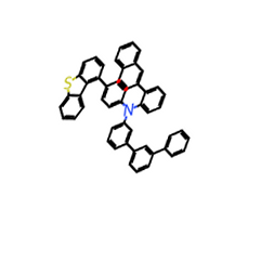 c1ccc(-c2cccc(-c3cccc(N(c4ccc(-c5cccc6sc7ccccc7c56)cc4)c4ccccc4-c4ccc5ccccc5c4)c3)c2)cc1